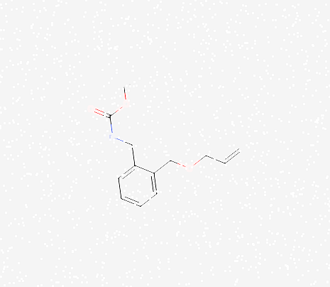 C=CCOCc1ccccc1CNC(=O)OC(C)(C)C